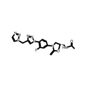 C=C1O[C@@H](CNC(C)=O)CN1c1ccc(-n2cc(Cn3ccnn3)nn2)c(F)c1